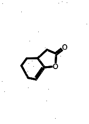 O=C1CC2CCCC=C2O1